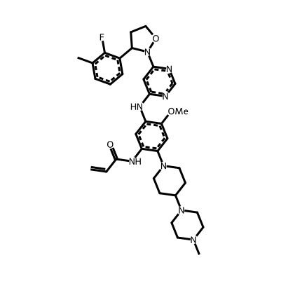 C=CC(=O)Nc1cc(Nc2cc(N3OCCC3c3cccc(C)c3F)ncn2)c(OC)cc1N1CCC(N2CCN(C)CC2)CC1